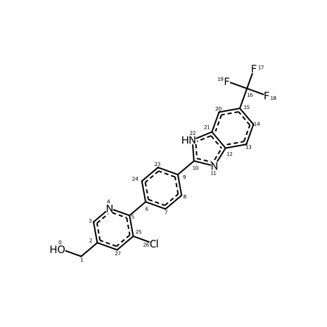 OCc1cnc(-c2ccc(-c3nc4ccc(C(F)(F)F)cc4[nH]3)cc2)c(Cl)c1